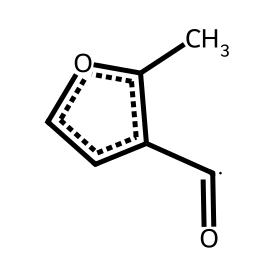 Cc1occc1[C]=O